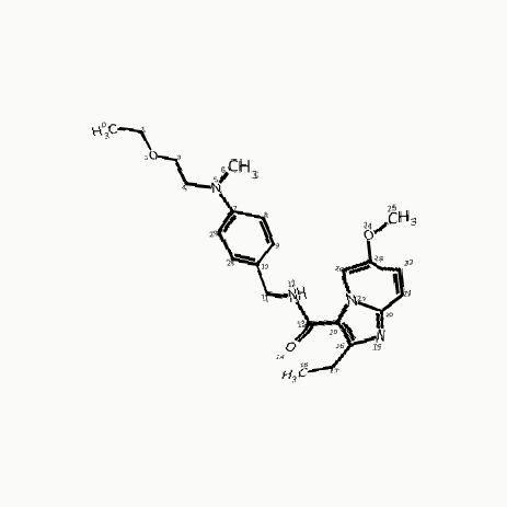 CCOCCN(C)c1ccc(CNC(=O)c2c(CC)nc3ccc(OC)cn23)cc1